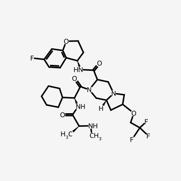 CN[C@@H](C)C(=O)N[C@H](C(=O)N1C[C@H]2CC(OCC(F)(F)F)CN2CC1C(=O)N[C@@H]1CCOc2cc(F)ccc21)C1CCCCC1